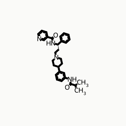 CC(C)C(=O)Nc1cccc(C2CCN(CC[C@H](NC(=O)c3cccnc3)c3ccccc3)CC2)c1